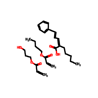 C=CC(=O)OCCCC.C=CC(=O)OCCCO.CCCCCC(=CC=Cc1ccccc1)C(=O)O